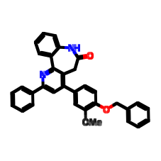 COc1cc(-c2cc(-c3ccccc3)nc3c2CC(=O)Nc2ccccc2-3)ccc1OCc1ccccc1